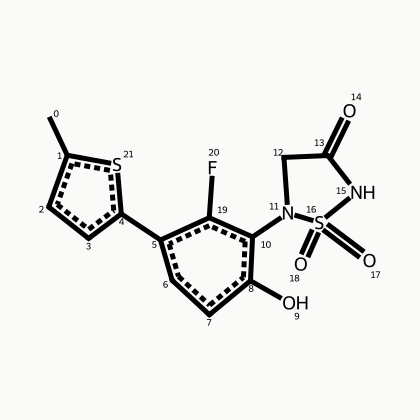 Cc1ccc(-c2ccc(O)c(N3CC(=O)NS3(=O)=O)c2F)s1